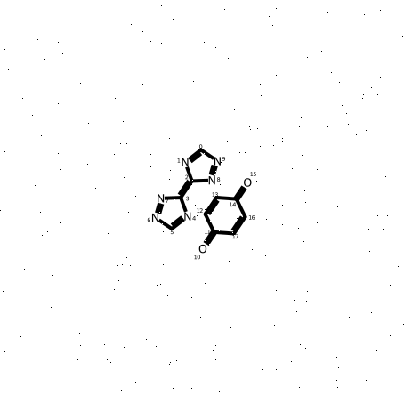 C1=NC(=C2N=CN=N2)N=N1.O=C1C=CC(=O)C=C1